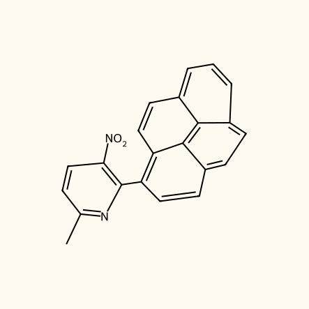 Cc1ccc([N+](=O)[O-])c(-c2ccc3ccc4cccc5ccc2c3c45)n1